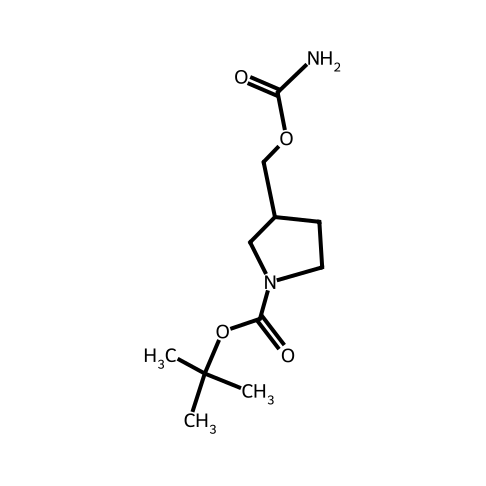 CC(C)(C)OC(=O)N1CCC(COC(N)=O)C1